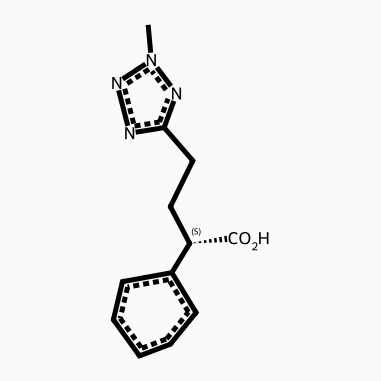 Cn1nnc(CC[C@H](C(=O)O)c2ccccc2)n1